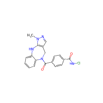 Cn1ncc2c1Nc1ccccc1N(C(=O)c1ccc(C(=O)NCl)cc1)C2